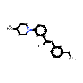 CCc1cccc(/C=C(\C)c2cccc(N3CCC(C)CC3)c2)c1